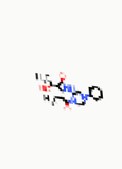 CC(C(=O)N1CCN(C2CCCCC2)CC1)[C@H]1NC(=O)[C@@H]1C(C)O